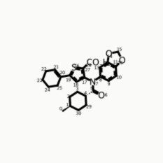 C[C@H]1CC[C@H](C(=O)N(c2ccc3c(c2)OCO3)c2cc(C3=CCCCC3)sc2C(=O)O)CC1